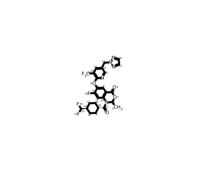 CC1OC(=O)c2cc(Oc3ncc(Cn4nccn4)cc3C(F)(F)F)c(F)cc2N1C(=O)[C@H]1CC[C@H](C(F)F)CC1